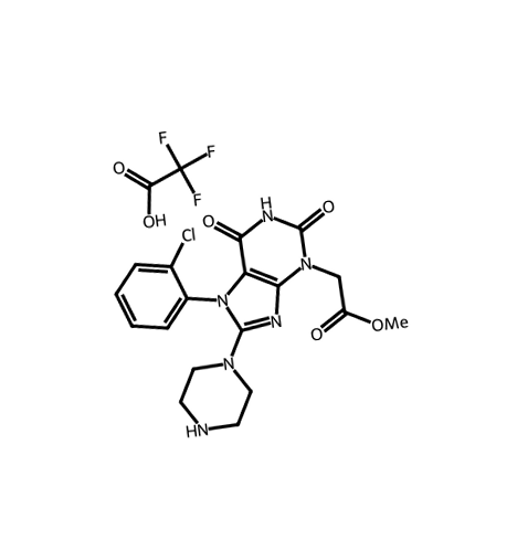 COC(=O)Cn1c(=O)[nH]c(=O)c2c1nc(N1CCNCC1)n2-c1ccccc1Cl.O=C(O)C(F)(F)F